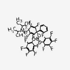 C[CH](C)[Al]([O]C1(F)C(F)=C(F)C(OB(Oc2c(F)c(F)c(F)c(F)c2F)Oc2c(F)c(F)c(F)c(F)c2F)(c2ccccc2)C(F)=C1F)[CH](C)C